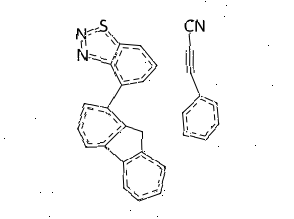 N#CC#Cc1ccccc1.c1ccc2c(c1)Cc1c-2cccc1-c1cccc2snnc12